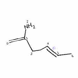 C=C(N)C/C=C/C